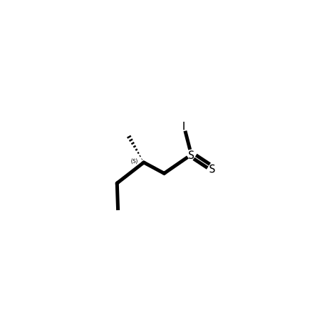 CC[C@H](C)CS(=S)I